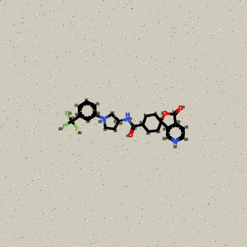 O=C1OC2(CCC(C(=O)N[C@H]3CCN(c4cccc(C(F)(F)F)c4)C3)CC2)c2cnccc21